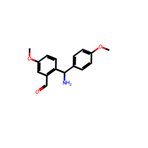 COc1ccc(C(N)c2ccc(OC)cc2C=O)cc1